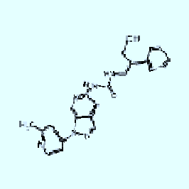 Cc1cc(-n2ncc3cc(NC(=O)NCC(CO)c4ccccc4)ncc32)ccn1